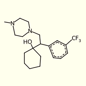 CN1CCN(CC(c2cccc(C(F)(F)F)c2)C2(O)CCCCC2)CC1